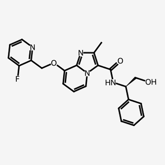 Cc1nc2c(OCc3ncccc3F)cccn2c1C(=O)N[C@@H](CO)c1ccccc1